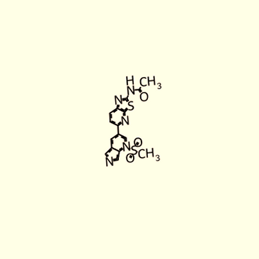 CC(=O)Nc1nc2ccc(-c3cc4cncc-4n(S(C)(=O)=O)c3)nc2s1